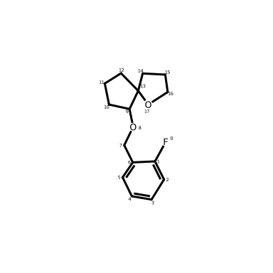 Fc1ccccc1COC1CCCC12CCCO2